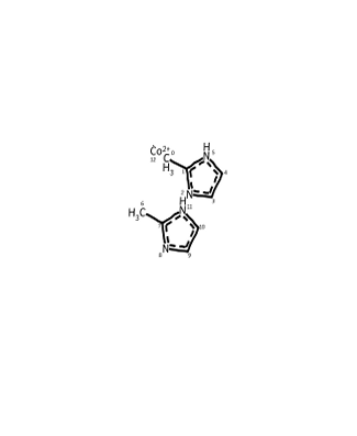 Cc1ncc[nH]1.Cc1ncc[nH]1.[Co+2]